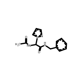 CC(=O)NC(C(=O)NCc1ccccc1)n1cccn1